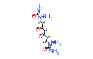 NC(=O)N(N)CCC(=O)CC(=O)CCN(N)C(N)=O